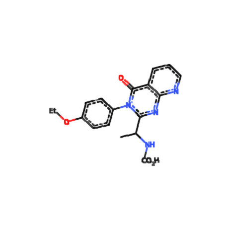 CCOc1ccc(-n2c(C(C)NC(=O)O)nc3ncccc3c2=O)cc1